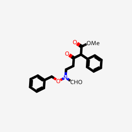 COC(=O)C(C(=O)CCN(C=O)OCc1ccccc1)c1ccccc1